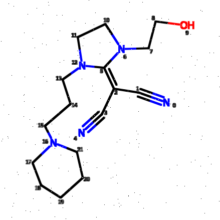 N#CC(C#N)=C1N(CCO)CCN1CCCN1CCCCC1